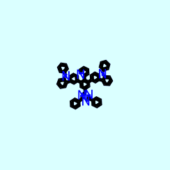 c1ccc(-c2nc(-c3ccccc3)nc(-c3cc(-c4ccc5c(c4)c4ccccc4n5-c4ccccc4)c(-c4ccccn4)c(-c4ccc5c(c4)c4ccccc4n5-c4ccccc4)c3)n2)cc1